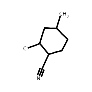 CC1CCC(C#N)C(Cl)C1